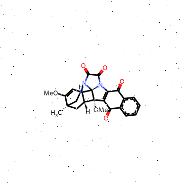 COC1=C[C@H]2[C@H]3C[C@]1(C)CN1C(=O)C(=O)N4C5=C(C(=O)c6ccccc6C5=O)[C@]3(OC)[C@]214